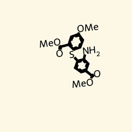 COC(=O)c1ccc(Sc2ccc(OC)cc2C(=O)OC)c(N)c1